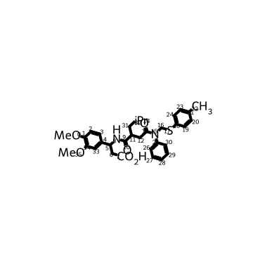 COc1ccc(C(CC(=O)O)NC(=O)C(CC(=O)N(CSc2ccc(C)cc2)c2ccccc2)CC(C)C)cc1OC